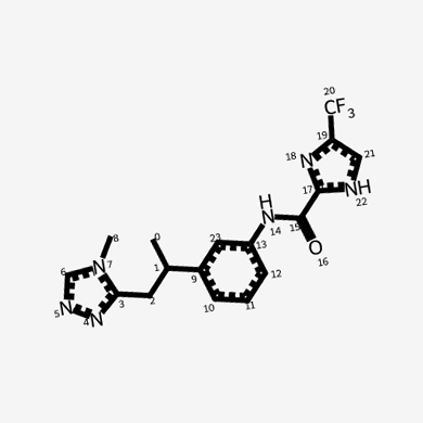 CC(Cc1nncn1C)c1cccc(NC(=O)c2nc(C(F)(F)F)c[nH]2)c1